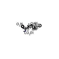 CCCN(C(=O)[C@@H](NC(=O)[C@H]1CCCCN1C)[C@@H](C)CC)[C@H](C[C@@H](OC(C)=O)c1nc(C(=O)N[C@H](/C=C(\C)C(=O)OCC)Cc2ccc([N+](=O)[O-])cc2)cs1)C(C)C